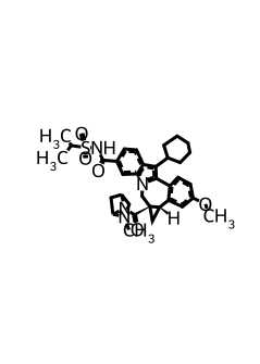 COc1ccc2c(c1)[C@@H]1C[C@]1(C(=O)N1C3CC1N(C)C3)Cn1c-2c(C2CCCCC2)c2ccc(C(=O)NS(=O)(=O)C(C)C)cc21